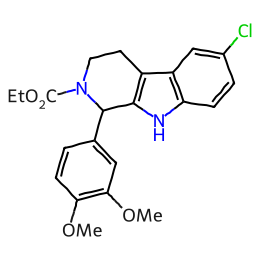 CCOC(=O)N1CCc2c([nH]c3ccc(Cl)cc23)C1c1ccc(OC)c(OC)c1